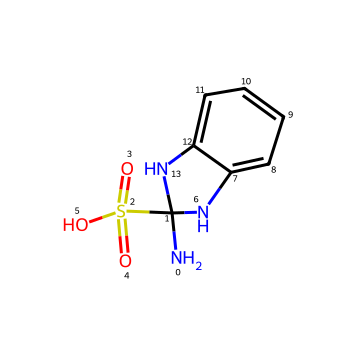 NC1(S(=O)(=O)O)Nc2ccccc2N1